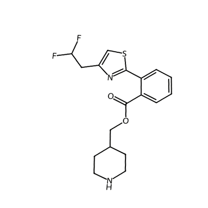 O=C(OCC1CCNCC1)c1ccccc1-c1nc(CC(F)F)cs1